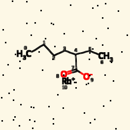 CCCCC(CC)C(=O)[O-].[Rh+]